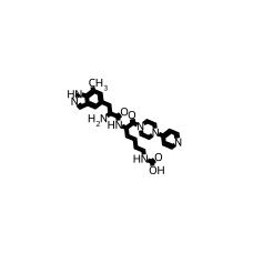 Cc1cc(CC(N)C(=O)NC(CCCCNC(=O)O)C(=O)N2CCN(c3ccncc3)CC2)cc2cn[nH]c12